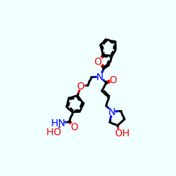 O=C(NO)c1ccc(OCCN(C(=O)C=CCN2CCC(O)C2)c2cc3ccccc3o2)cc1